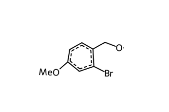 COc1ccc(C[O])c(Br)c1